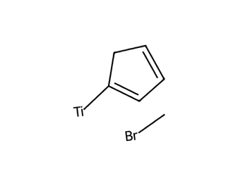 CBr.[Ti][C]1=CC=CC1